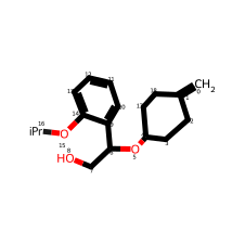 C=C1CCC(OC(CO)c2ccccc2OC(C)C)CC1